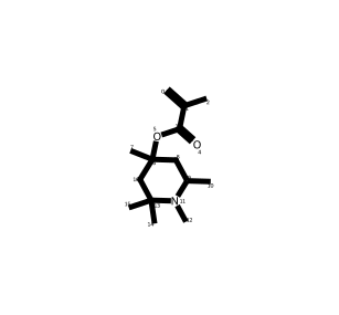 C=C(C)C(=O)OC1(C)CC(C)N(C)C(C)(C)C1